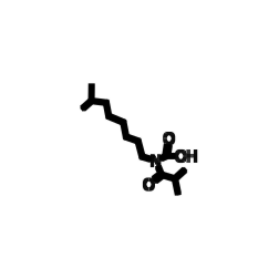 CC(C)CCCCCCN(C(=O)O)C(=O)C(C)C